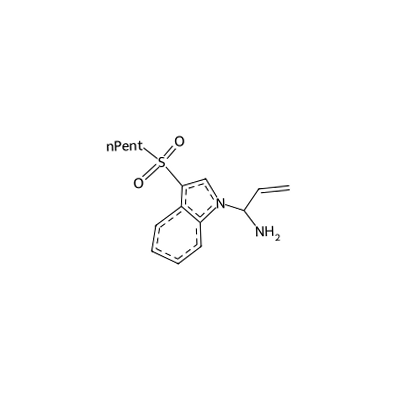 C=CC(N)n1cc(S(=O)(=O)CCCCC)c2ccccc21